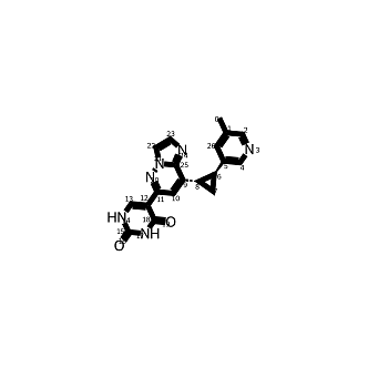 Cc1cncc([C@H]2C[C@@H]2c2cc(-c3c[nH]c(=O)[nH]c3=O)nn3ccnc23)c1